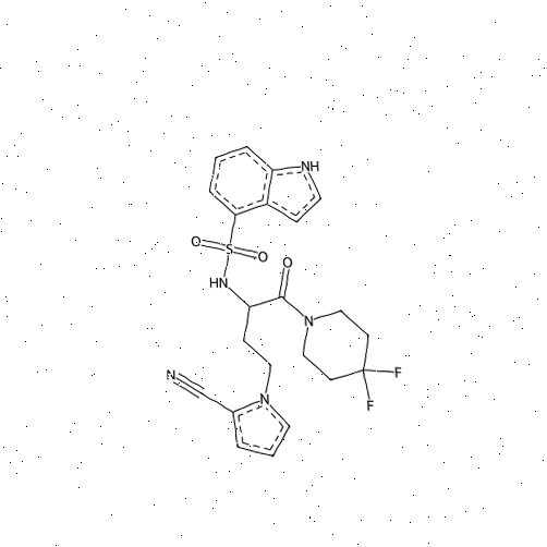 N#Cc1cccn1CCC(NS(=O)(=O)c1cccc2[nH]ccc12)C(=O)N1CCC(F)(F)CC1